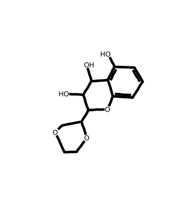 Oc1cccc2c1C(O)C(O)C(C1COCCO1)O2